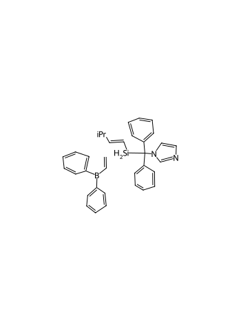 C=CB(c1ccccc1)c1ccccc1.CC(C)C=C[SiH2]C(c1ccccc1)(c1ccccc1)n1ccnc1